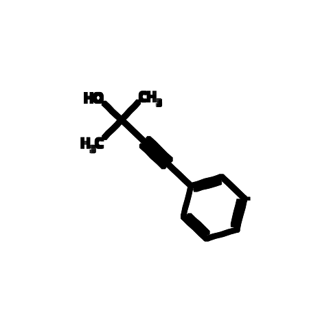 CC(C)(O)C#Cc1c[c]ccc1